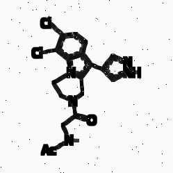 CC(=O)N(C)CC(=O)N1CCn2c(c(-c3cn[nH]c3)c3ccc(Cl)c(Cl)c32)C1